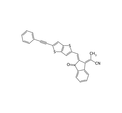 C/C(C#N)=C1\C(=C\c2cc3sc(C#Cc4ccccc4)cc3s2)C(=O)c2ccccc21